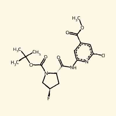 COC(=O)c1cc(Cl)nc(NC(=O)[C@@H]2C[C@@H](F)CN2C(=O)OC(C)(C)C)c1